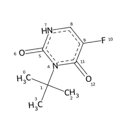 CC(C)(C)n1c(=O)[nH]cc(F)c1=O